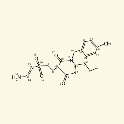 CCSc1nc(=O)n(CCS(=O)(=O)N=NN)c(=O)n1Cc1ccc(Cl)cc1